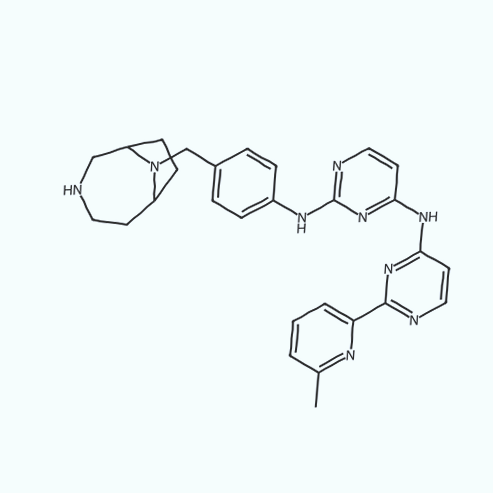 Cc1cccc(-c2nccc(Nc3ccnc(Nc4ccc(CN5C6CCNCC5CC6)cc4)n3)n2)n1